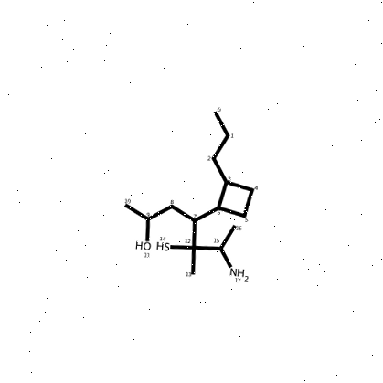 CCCC1CCC1C(CC(C)O)C(C)(S)C(C)N